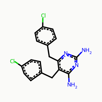 Nc1nc(N)c(Cc2ccc(Cl)cc2)c(Cc2ccc(Cl)cc2)n1